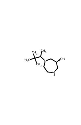 CC(N1CCNC[C@H](O)C1)C(C)(C)C